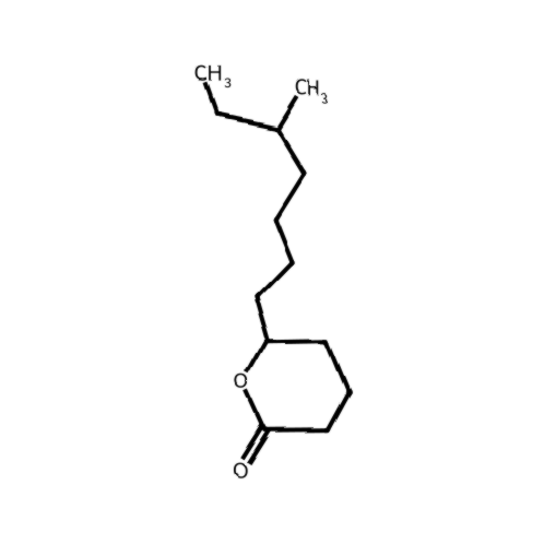 CCC(C)CCCCC1CCCC(=O)O1